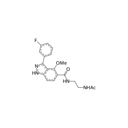 COc1c(C(=O)NCCNC(C)=O)ccc2[nH]nc(-c3cccc(F)c3)c12